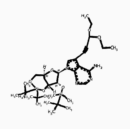 CCOC(C#Cc1cn([C@@H]2O[C@@H]3CO[Si](C(C)(C)C)(C(C)(C)C)O[C@H]3[C@H]2O[Si](C)(C)C(C)(C)C)c2ncnc(N)c12)OCC